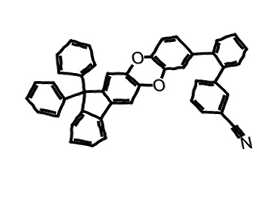 N#Cc1cccc(-c2ccccc2-c2ccc3c(c2)Oc2cc4c(cc2O3)C(c2ccccc2)(c2ccccc2)c2ccccc2-4)c1